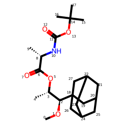 CO[C@@H]([C@H](C)OC(=O)[C@H](C)NC(=O)OC(C)(C)C)C12CC3CC(CC(C3)C1)C2